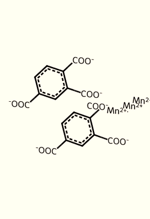 O=C([O-])c1ccc(C(=O)[O-])c(C(=O)[O-])c1.O=C([O-])c1ccc(C(=O)[O-])c(C(=O)[O-])c1.[Mn+2].[Mn+2].[Mn+2]